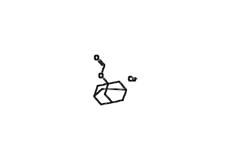 O=COC12CC3CC(CC(C3)C1)C2.[Cu]